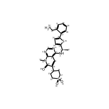 C[C@@H](Nc1ncnc2c1cc(C1CCS(=O)(=O)CC1)c(=O)n2C)c1ccc(-c2ccccc2CN)s1